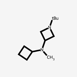 CN(C1CCC1)C1CN(C(C)(C)C)C1